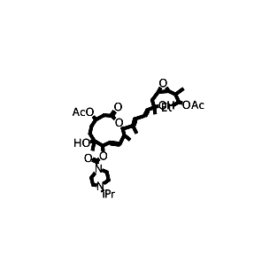 CCC(OC(C)=O)C(C)C1OC1CC(C)(O)/C=C/C=C(\C)C1OC(=O)CC(OC(C)=O)CCC(C)(O)C(OC(=O)N2CCN(C(C)C)CC2)/C=C/C1C